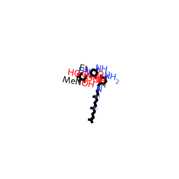 CCNC1CC(N)C(OC2OC(CN=C/C=C(\C)CC/C=C(\C)CCC=C(C)C)[C@@H](C)CC2N)C(O)C1OC1OCC(C)(O)C(NC)C1O